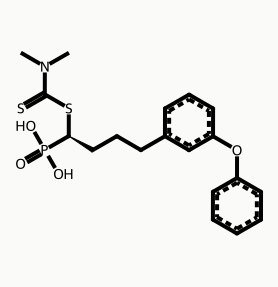 CN(C)C(=S)S[C@@H](CCCc1cccc(Oc2ccccc2)c1)P(=O)(O)O